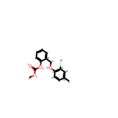 COC(=O)Oc1ccccc1COc1ccc(C)cc1F